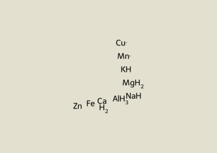 [AlH3].[CaH2].[Cu].[Fe].[KH].[MgH2].[Mn].[NaH].[Zn]